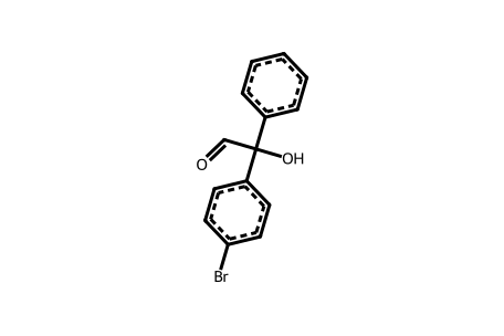 O=CC(O)(c1ccccc1)c1ccc(Br)cc1